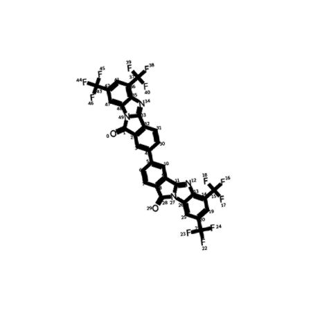 O=C1c2cc(-c3ccc4c(c3)-c3nc5c(C(F)(F)F)cc(C(F)(F)F)cc5n3C4=O)ccc2-c2nc3c(C(F)(F)F)cc(C(F)(F)F)cc3n21